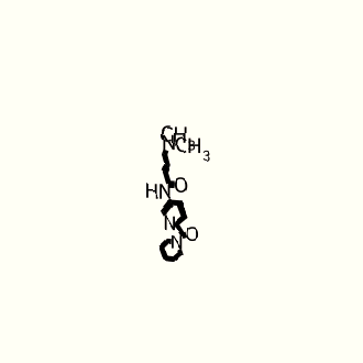 CN(C)C/C=C/C(=O)Nc1ccc(C(=O)N2CCCCC2)nc1